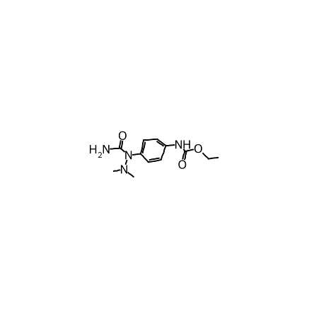 CCOC(=O)Nc1ccc(N(C(N)=O)N(C)C)cc1